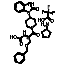 NC1CCCC1.O=C(O)C(F)(F)F.O=C(O)N[C@H](COCc1ccccc1)C(=O)N1CCC(n2c(=O)[nH]c3ccccc32)CC1